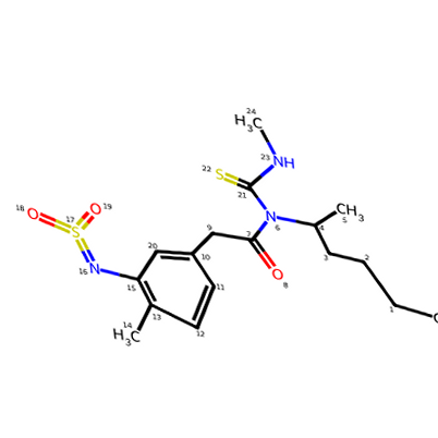 CCCCC(C)N(C(=O)Cc1ccc(C)c(N=S(=O)=O)c1)C(=S)NC